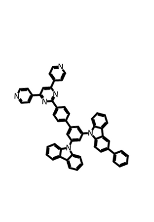 c1ccc(-c2ccc3c(c2)c2ccccc2n3-c2cc(-c3ccc(-c4nc(-c5ccncc5)cc(-c5ccncc5)n4)cc3)cc(-n3c4ccccc4c4ccccc43)c2)cc1